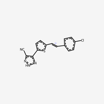 N#Cc1n[nH]nc1-c1ccc(/C=C/c2ccc(Cl)cc2)s1